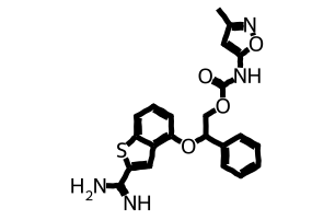 Cc1cc(NC(=O)OCC(Oc2cccc3sc(C(=N)N)cc23)c2ccccc2)on1